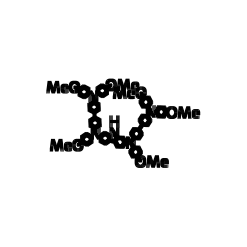 COc1ccc(N(c2ccc(OC)cc2)c2ccc(-c3ccc(N(c4ccc(OC)cc4)c4ccc5c(c4)[nH]c4cc(N(c6ccc(OC)cc6)c6ccc(-c7ccc(N(c8ccc(OC)cc8)c8ccc(OC)cc8)cc7)cc6)ccc45)cc3)cc2)cc1